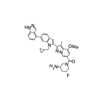 COc1cc(C(=O)N2C[C@H](N)C[C@@H](F)C2)cn2nc(-c3cc4ccc(-c5cccc6[nH]ncc56)cc4n3CC3CC3)c(C)c12